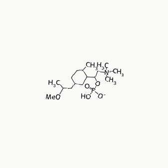 COC(C)CC1CCC(C)C(C(C[N+](C)(C)C)OP(=O)([O-])O)C1